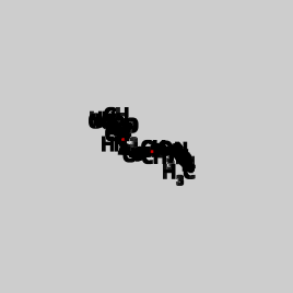 CCN1CCN(c2nccc(COc3ccc(C(C)(C)c4ccc(O[C@H]5C[C@@H](Nc6ccc(C=O)c(C(=O)N(C)C(CCC=O)C(=O)NC)c6)C5)cc4)cc3)n2)CC1